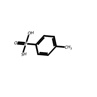 Cc1ccc(P(=O)(O)S)cc1